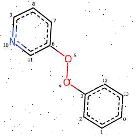 c1ccc(OOc2cccnc2)cc1